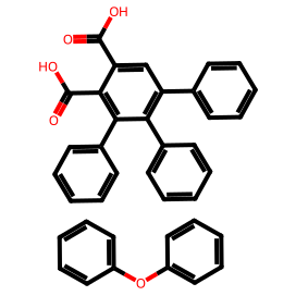 O=C(O)c1cc(-c2ccccc2)c(-c2ccccc2)c(-c2ccccc2)c1C(=O)O.c1ccc(Oc2ccccc2)cc1